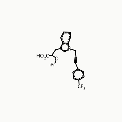 CC(C)OC(Cc1cn(CC#Cc2ccc(C(F)(F)F)cc2)c2ccccc12)C(=O)O